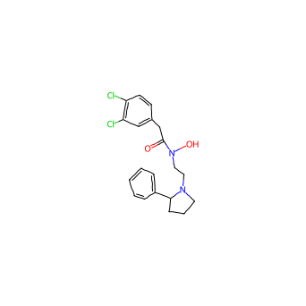 O=C(Cc1ccc(Cl)c(Cl)c1)N(O)CCN1CCCC1c1ccccc1